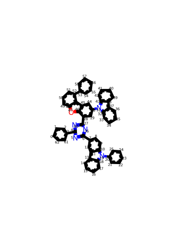 c1ccc(-c2nc(-c3ccc4c(c3)c3ccccc3n4-c3ccccc3)nc(-c3cc(-n4c5ccccc5c5ccccc54)cc4c3oc3cccc(-c5ccccc5)c34)n2)cc1